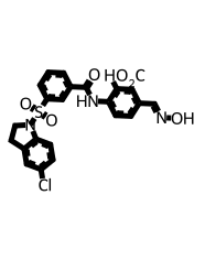 O=C(Nc1ccc(C=NO)cc1C(=O)O)c1cccc(S(=O)(=O)N2CCc3cc(Cl)ccc32)c1